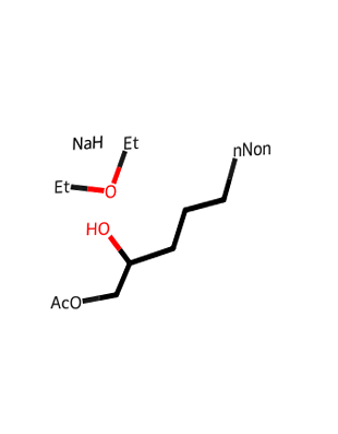 CCCCCCCCCCCCC(O)COC(C)=O.CCOCC.[NaH]